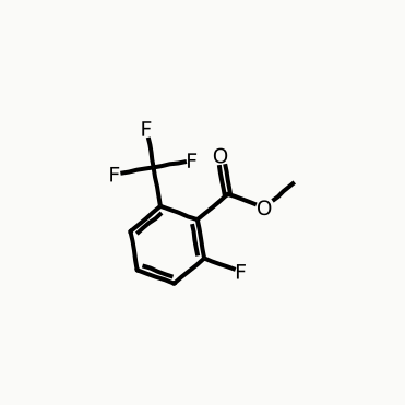 COC(=O)c1c(F)cccc1C(F)(F)F